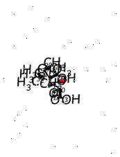 CC(C)(C)N([C@@H](CS(=O)(=O)CC(=O)O)C(=O)O)C(C)(C)C